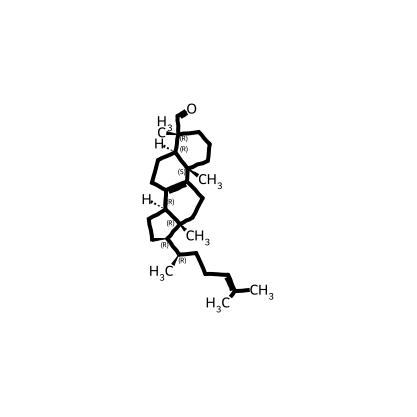 CC(C)=CCC[C@@H](C)[C@H]1CC[C@H]2C3=C(CC[C@]12C)[C@@]1(C)CCC[C@@](C)(C=O)[C@@H]1CC3